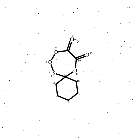 C=C1OOSC2(CCCCC2)OC1=O